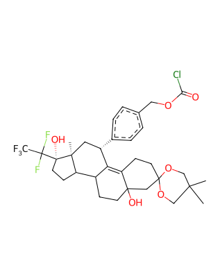 CC1(C)COC2(CCC3=C4C(CCC3(O)C2)C2CC[C@@](O)(C(F)(F)C(F)(F)F)[C@@]2(C)C[C@@H]4c2ccc(COC(=O)Cl)cc2)OC1